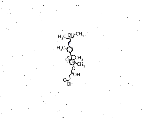 CCCC(O)(/C=C/c1ccc(C(CC)(CC)c2ccc(OC[C@@H](O)CCC(=O)O)c(C)c2)cc1C)CC